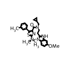 COc1ccc2nc(CCN(CC3CC3)C(=O)c3nc(N(C)C)sc3-c3cccc(C)c3)[nH]c2c1